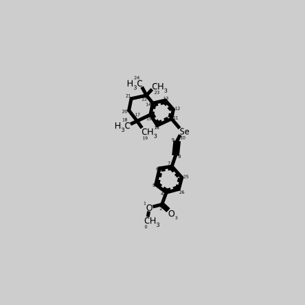 COC(=O)c1ccc(C#C[Se]c2ccc3c(c2)C(C)(C)CCC3(C)C)cc1